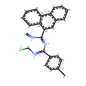 C=N/C(=N\C(=N/CCl)c1ccc(C)cc1)c1cc2ccccc2c2ccccc12